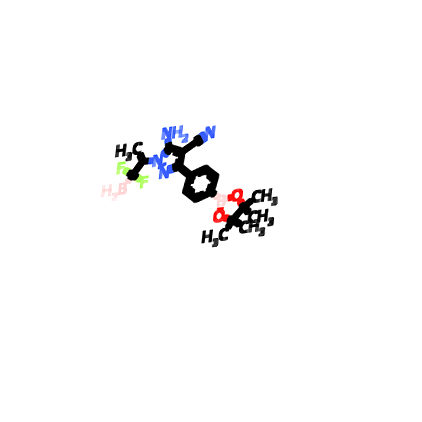 BC(F)(F)C(C)n1nc(-c2ccc(B3OC(C)(C)C(C)(C)O3)cc2)c(C#N)c1N